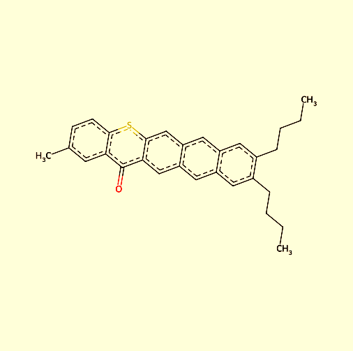 CCCCc1cc2cc3cc4sc5ccc(C)cc5c(=O)c4cc3cc2cc1CCCC